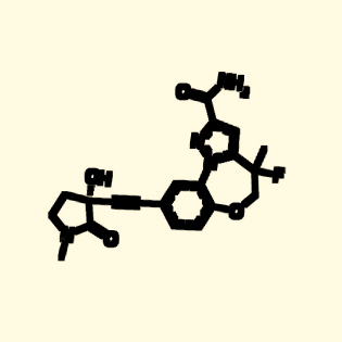 CN1CC[C@@](O)(C#Cc2ccc3c(c2)-n2nc(C(N)=O)cc2C(C)(F)CO3)C1=O